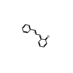 O=C1C=CC=C/C1=C\C=C\c1ccccc1